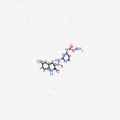 C[C@H](Nc1nccc(CC(=O)ON)n1)c1cc2cc(Cl)ccc2[nH]c1=O